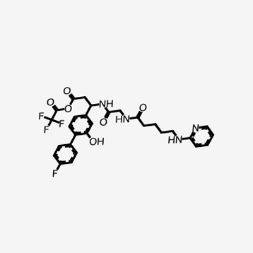 O=C(CCCCNc1ccccn1)NCC(=O)NC(CC(=O)OC(=O)C(F)(F)F)c1ccc(-c2ccc(F)cc2)c(O)c1